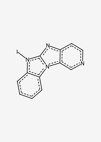 In1c2ccccc2n2c3cnccc3nc12